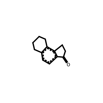 O=C1CCc2c1ccc1c2CCCC1